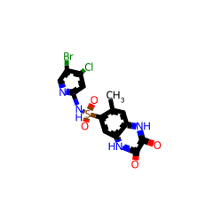 Cc1cc2[nH]c(=O)c(=O)[nH]c2cc1S(=O)(=O)Nc1cc(Cl)c(Br)cn1